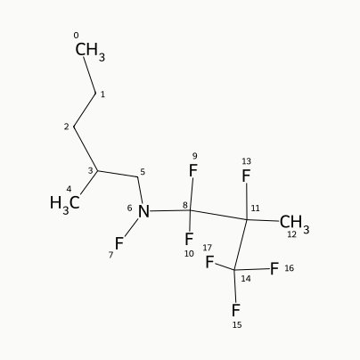 CCCC(C)CN(F)C(F)(F)C(C)(F)C(F)(F)F